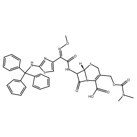 CO/N=C(\C(=O)NC1C(=O)N2C(C(=O)O)=C(COC(=O)N(C)C)CS[C@@H]12)c1csc(NC(c2ccccc2)(c2ccccc2)c2ccccc2)n1